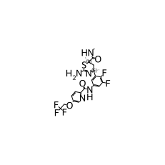 CNC(=O)[C@@]1(C)C[C@@](C)(c2cc(NC(=O)c3ccc(OCC(F)(F)F)cn3)cc(F)c2F)N=C(N)S1